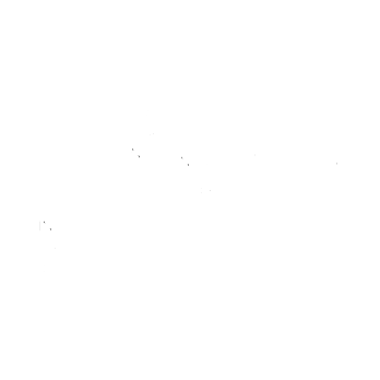 O=C1CN(S(=O)(=O)c2cc3ccc(Cl)cc3s2)CCN1Cc1ccc2[nH]c(=O)ccc2c1